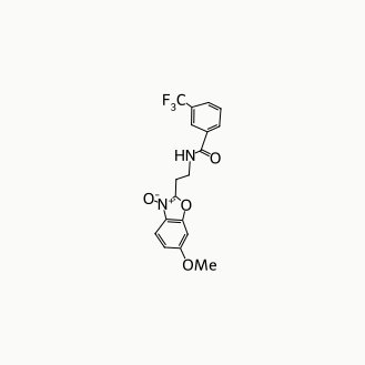 COc1ccc2c(c1)oc(CCNC(=O)c1cccc(C(F)(F)F)c1)[n+]2[O-]